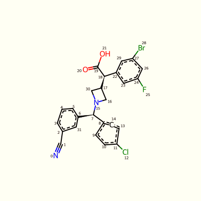 N#Cc1cccc([C@H](c2ccc(Cl)cc2)N2CC([C@@H](C(=O)O)c3cc(F)cc(Br)c3)C2)c1